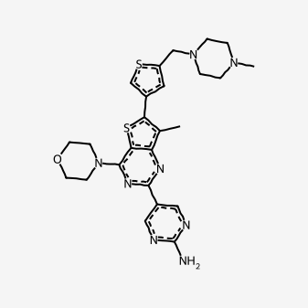 Cc1c(-c2csc(CN3CCN(C)CC3)c2)sc2c(N3CCOCC3)nc(-c3cnc(N)nc3)nc12